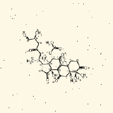 CC(=O)O[C@@H]1C(=O)C2=C(C(=O)C[C@@]3(C)C(C)(C)C(=O)CC[C@]23C)[C@]2(C)C(=O)C[C@H]([C@H](C)CC(=O)CC(C)C=O)[C@@]12C